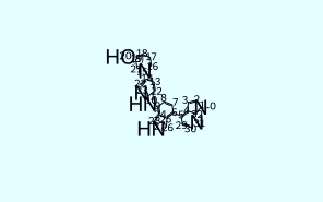 Cn1ccc2c(-c3ccc(Nc4ccc(N5CCC[C@H](O)C5)cn4)c4c3CNC4)ccnc21